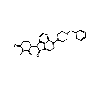 CN1C(=O)CCC(N2C(=O)c3ccc(N4CCN(Cc5ccccc5)CC4)c4cccc2c34)C1=O